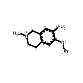 CC(C)Oc1cc2c(cc1[N+](=O)[O-])CN(C)CC2